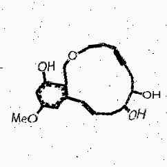 COc1cc(O)c2c(c1)/C=C/CC(O)C(O)C/C=C\CCOC2